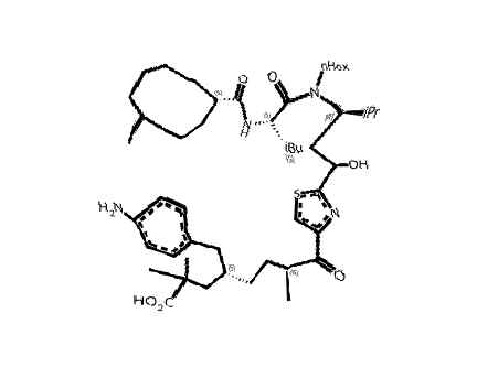 CCCCCCN(C(=O)[C@@H](NC(=O)[C@H]1CCCCC(C)CC1)[C@@H](C)CC)[C@H](CC(O)c1nc(C(=O)[C@@H](C)CC[C@@H](Cc2ccc(N)cc2)CC(C)(C)C(=O)O)cs1)C(C)C